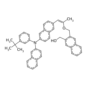 CC(=Cc1ccc2cc(N(c3cccc(C(C)(C)C)c3)c3ccc4ccccc4c3)ccc2c1)OCc1cc2ccccc2cc1CO